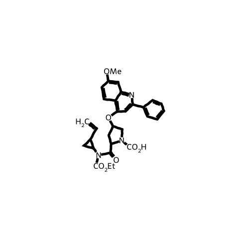 C=CC1CC1N(C(=O)OCC)C(=O)C1CC(Oc2cc(-c3ccccc3)nc3cc(OC)ccc23)CN1C(=O)O